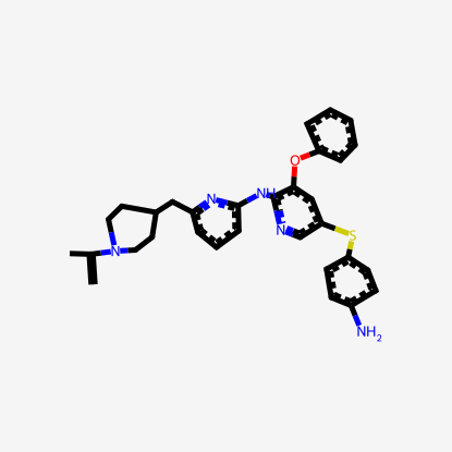 C=C(C)N1CCC(Cc2cccc(Nc3ncc(Sc4ccc(N)cc4)cc3Oc3ccccc3)n2)CC1